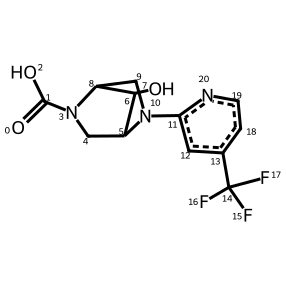 O=C(O)N1CC2C(O)C1CN2c1cc(C(F)(F)F)ccn1